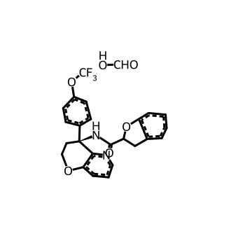 O=C(N[C@]1(c2ccc(OC(F)(F)F)cc2)CCOc2cccnc21)C1Cc2ccccc2O1.O=CO